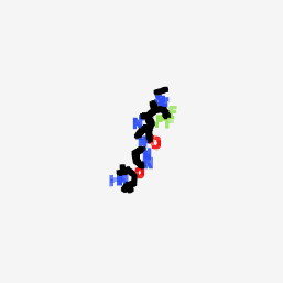 CCn1cc(-c2cnc3c(c2)C(=O)N(c2ccc(OC4CC(C)(C)NC(C)(C)C4)nn2)C3)c(C(F)(F)F)n1